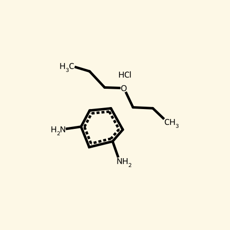 CCCOCCC.Cl.Nc1cccc(N)c1